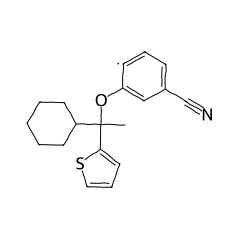 CC(Oc1[c]ccc(C#N)c1)(c1cccs1)C1CCCCC1